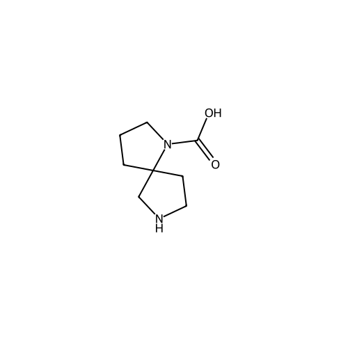 O=C(O)N1CCCC12CCNC2